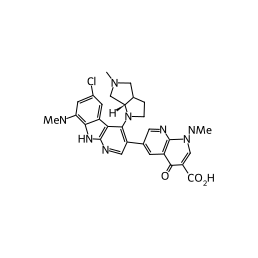 CNc1cc(Cl)cc2c1[nH]c1ncc(-c3cnc4c(c3)c(=O)c(C(=O)O)cn4NC)c(N3CCC4CN(C)C[C@H]43)c12